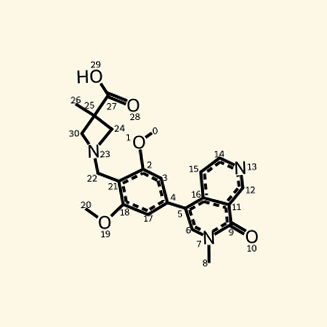 COc1cc(-c2cn(C)c(=O)c3cnccc23)cc(OC)c1CN1CC(C)(C(=O)O)C1